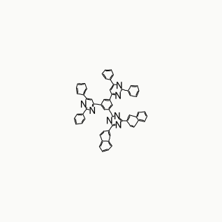 c1ccc(-c2cc(-c3cc(-c4cc(-c5ccccc5)nc(-c5ccccc5)n4)cc(-c4nc(-c5ccc6ccccc6c5)nc(-c5ccc6ccccc6c5)n4)c3)nc(-c3ccccc3)n2)cc1